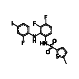 Cc1ccc(S(=O)(=O)Nc2ccc(F)c(F)c2Nc2ccc(I)cc2F)s1